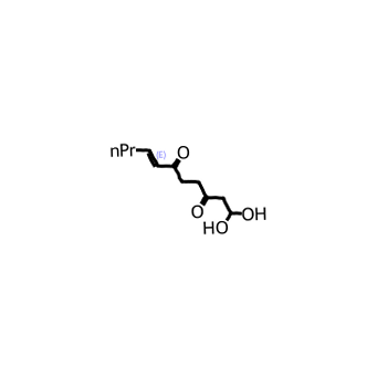 CCC/C=C/C(=O)CCC(=O)CC(O)O